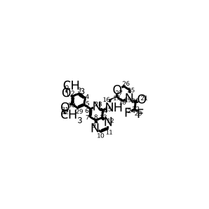 COc1ccc(-c2cc3nccnc3c(NC[C@@H]3CN(C(=O)C(F)F)CCO3)n2)cc1OC